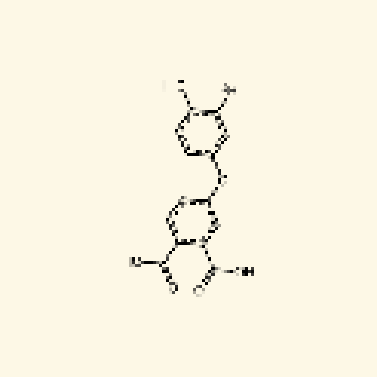 [2H]c1cc(Oc2ccc(C(=O)O)c(C(=O)O)c2)ccc1C